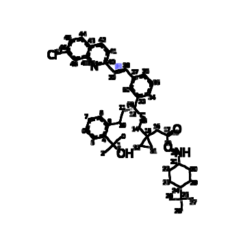 CC(C)(O)c1ccccc1CC[C@@H](SCC1(CC(=O)ONC2CCC(C(C)(C)C)CC2)CC1)c1cccc(/C=C/c2ccc3ccc(Cl)cc3n2)c1